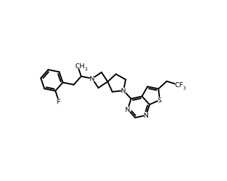 CC(Cc1ccccc1F)N1CC2(CCN(c3ncnc4sc(CC(F)(F)F)cc34)C2)C1